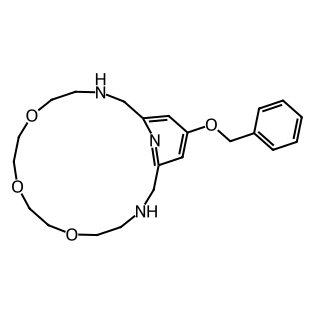 c1ccc(COc2cc3nc(c2)CNCCOCCOCCOCCNC3)cc1